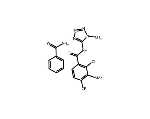 CSc1c(C(F)(F)F)ccc(C(=O)Nc2nnnn2C)c1Cl.NC(=O)c1ccccc1